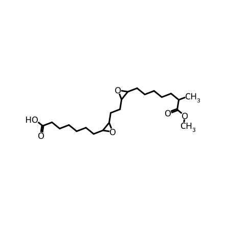 COC(=O)C(C)CCCCCC1OC1CCC1OC1CCCCCCC(=O)O